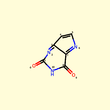 O=C1N=C2C=CN=C2C(=O)N1